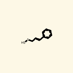 SS[CH]C=Cc1ccccc1